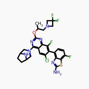 CC(CN1CC(F)(F)C1)Oc1nc(N2CC3CCC(C2)N3)c2cc(Cl)c(-c3ccc(F)c4sc(N)nc34)c(F)c2n1